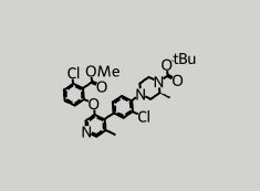 COC(=O)c1c(Cl)cccc1Oc1cncc(C)c1-c1ccc(N2CCN(C(=O)OC(C)(C)C)[C@@H](C)C2)c(Cl)c1